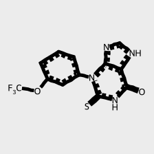 O=c1[nH]c(=S)n(-c2cccc(OC(F)(F)F)c2)c2nc[nH]c12